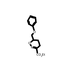 CCOC(=O)C1=NOC(COc2ccccc2)CC1